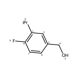 CC(C)c1cc(CO)ccc1F